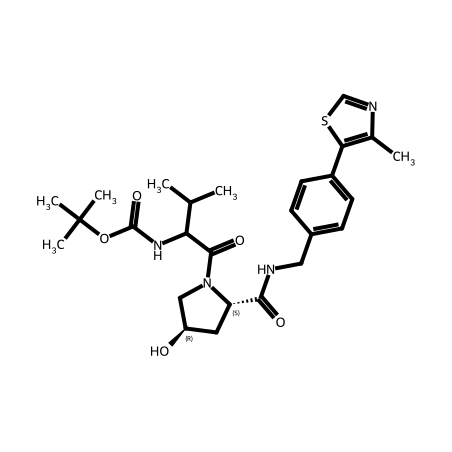 Cc1ncsc1-c1ccc(CNC(=O)[C@@H]2C[C@@H](O)CN2C(=O)C(NC(=O)OC(C)(C)C)C(C)C)cc1